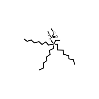 CCCCCCCCP(CC)(CCCCCCCC)(CCCCCCCC)OP(=O)(OC)OC